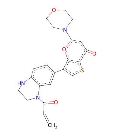 C=CC(=O)N1CCNc2ccc(-c3csc4c(=O)cc(N5CCOCC5)oc34)cc21